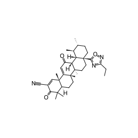 CCc1noc([C@]23CC[C@@H](C)[C@H](C)[C@H]2[C@H]2C(=O)C=C4[C@@]5(C)C=C(C#N)C(=O)C(C)(C)[C@@H]5CC[C@@]4(C)[C@]2(C)CC3)n1